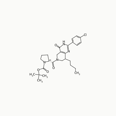 CCCCC1CN(C(=O)[C@H]2CCCN2C(=O)OC(C)(C)C)Cc2c1nc(-c1ccc(Cl)cc1)[nH]c2=O